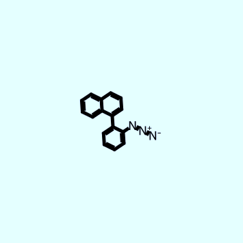 [N-]=[N+]=Nc1ccccc1-c1cccc2ccccc12